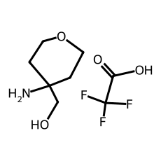 NC1(CO)CCOCC1.O=C(O)C(F)(F)F